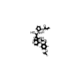 C=CC(=O)N[C@H]1CCC[C@H]1NC(O)c1sc2nccc3c2c1NC(=O)N3c1ccc(OC(C)C)cc1C